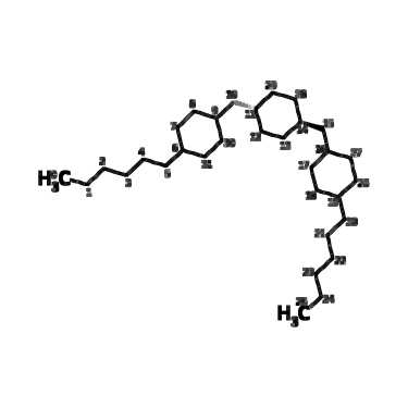 CCCCCCC1CCC(C[C@H]2CC[C@H](CC3CCC(CCCCCC)CC3)CC2)CC1